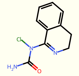 NC(=O)N(Cl)C1=NCCc2ccccc21